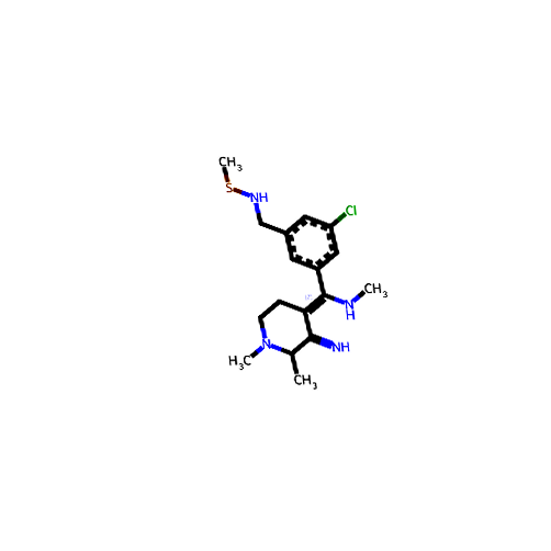 CN/C(=C1/CCN(C)C(C)C1=N)c1cc(Cl)cc(CNSC)c1